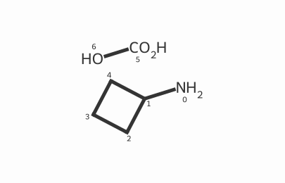 NC1CCC1.O=C(O)O